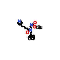 CN(CCN(CCC12CC3CC(CC(C3)C1)C2)C(=O)CCCCc1ccncc1)C(=O)OC(C)(C)C